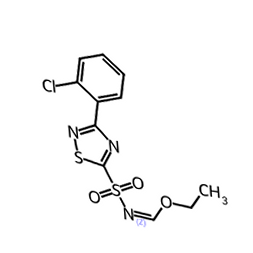 CCO/C=N\S(=O)(=O)c1nc(-c2ccccc2Cl)ns1